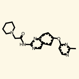 Cc1nccc(Oc2ccc3nc(NC(=O)CN4CCCCC4)ncc3c2)n1